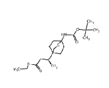 CCOC(=O)C[C@H](C)C12CCC(NC(=O)OC(C)(C)C)(CC1)CC2